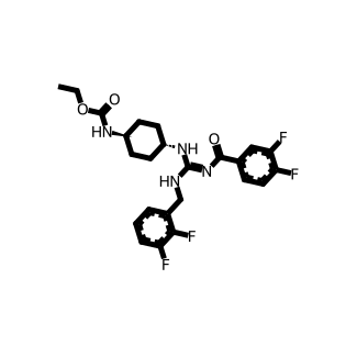 CCOC(=O)N[C@H]1CC[C@H](N/C(=N\C(=O)c2ccc(F)c(F)c2)NCc2cccc(F)c2F)CC1